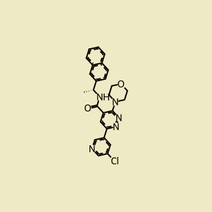 C[C@@H](NC(=O)c1cc(-c2cncc(Cl)c2)nnc1N1CCOCC1)c1ccc2ccccc2c1